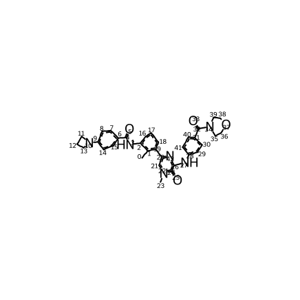 Cc1c(NC(=O)c2ccc(N3CCC3)cc2)cccc1-c1cn(C)c(=O)c(Nc2ccc(C(=O)N3CCOCC3)cc2)n1